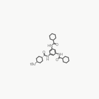 CC(C)(C)[C@H]1CC[C@H](C(=O)Nc2cc(NC(=O)C3CCCCC3)cc(NC(=O)C3CCCCC3)c2)CC1